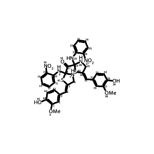 COc1cc(C=C2CNC(Nc3ccccc3[N+](=O)[O-])(C(=O)C3(Nc4ccccc4[N+](=O)[O-])NCC(=Cc4ccc(O)c(OC)c4)S3)S2)ccc1O